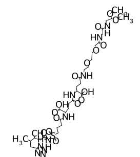 COC(CNC(=O)CNC(=O)COCCOCCNC(=O)CCC(NC(=O)CCC(NC(=O)CCCS(=O)(=O)NC(=O)CC(C)C(C)Cc1nnn[nH]1)C(=O)O)C(=O)O)OC